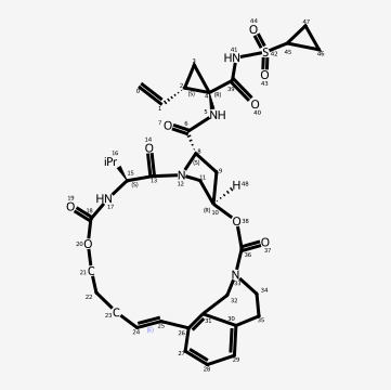 C=C[C@@H]1C[C@]1(NC(=O)[C@@H]1C[C@@H]2CN1C(=O)[C@H](C(C)C)NC(=O)OCCC/C=C/c1cccc3c1CN(CC3)C(=O)O2)C(=O)NS(=O)(=O)C1CC1